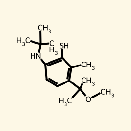 COC(C)(C)c1ccc(NC(C)(C)C)c(S)c1C